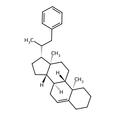 CC(Cc1ccccc1)[C@H]1CC[C@H]2[C@@H]3CC=C4CCCC[C@]4(C)[C@H]3CC[C@]12C